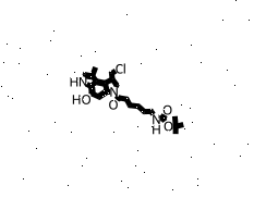 Cc1c[nH]c2c(O)cc3c(c12)C(CCl)CN3C(=O)CCCCCNC(=O)OC(C)(C)C